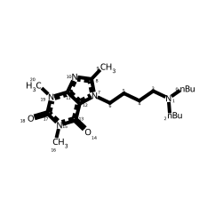 CCCCN(CCCC)CCCCn1c(C)nc2c1c(=O)n(C)c(=O)n2C